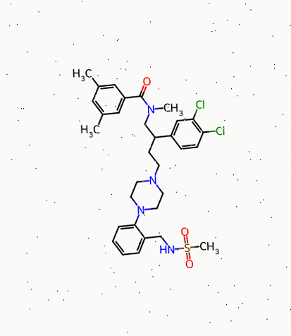 Cc1cc(C)cc(C(=O)N(C)CC(CCN2CCN(c3ccccc3CNS(C)(=O)=O)CC2)c2ccc(Cl)c(Cl)c2)c1